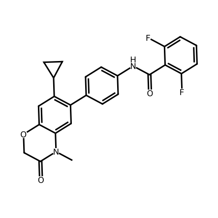 CN1C(=O)COc2cc(C3CC3)c(-c3ccc(NC(=O)c4c(F)cccc4F)cc3)cc21